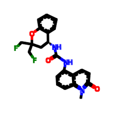 Cn1c(=O)ccc2c(NC(=O)N[C@@H]3CC(CF)(CF)Oc4ccccc43)cccc21